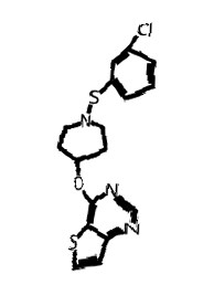 Clc1cccc(SN2CCC(Oc3ncnc4ccsc34)CC2)c1